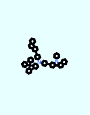 c1ccc(-n2c3cc(-c4ccc(N(c5ccc(-c6ccc7c(ccc8ccccc87)c6)cc5)c5ccc6c(c5)C(c5ccccc5)(c5ccccc5)c5ccccc5-6)cc4)ccc3c3ccc4ccccc4c32)cc1